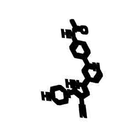 CC(=O)Nc1ccc(-c2cc(-c3cc(C#N)c(N4CCNCC4)[nH]3)ccn2)cc1